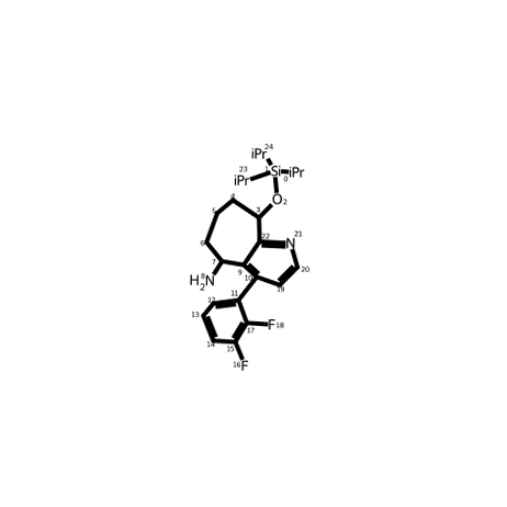 CC(C)[Si](OC1CCCC(N)c2c(-c3cccc(F)c3F)ccnc21)(C(C)C)C(C)C